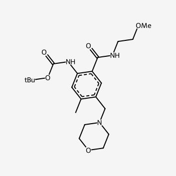 COCCNC(=O)c1cc(CN2CCOCC2)c(C)cc1NC(=O)OC(C)(C)C